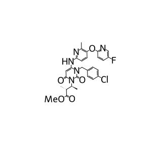 COC(=O)[C@H](C)[C@H](C)n1c(=O)cc(Nc2ccc(Oc3ccc(F)cn3)c(C)n2)n(Cc2ccc(Cl)cc2)c1=O